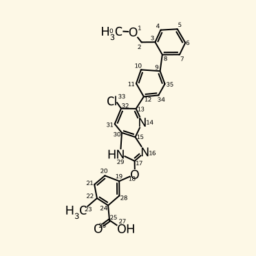 COCc1ccccc1-c1ccc(-c2nc3nc(Oc4ccc(C)c(C(=O)O)c4)[nH]c3cc2Cl)cc1